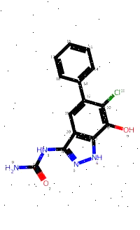 NC(=O)Nc1n[nH]c2c(O)c(Cl)c(-c3ccccc3)cc12